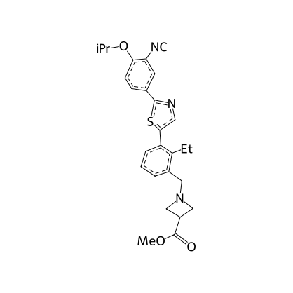 [C-]#[N+]c1cc(-c2ncc(-c3cccc(CN4CC(C(=O)OC)C4)c3CC)s2)ccc1OC(C)C